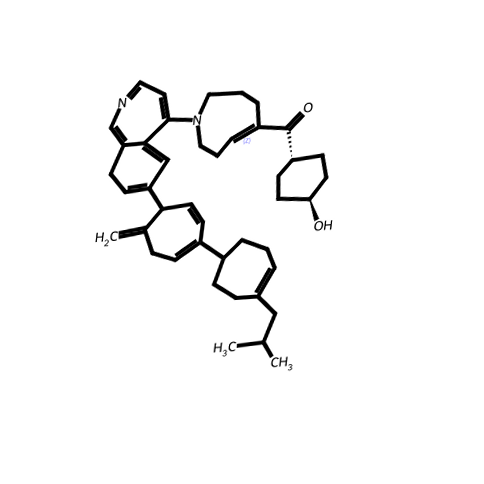 C=C1CC=C(C2CCC=C(CC(C)C)CC2)C=CC1C1=CCC2=CN=CC=C(N3CC/C=C(\C(=O)[C@H]4CC[C@H](O)CC4)CCC3)C2=C1